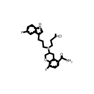 CCCCN(CCCc1c[nH]c2ccc(F)cc12)C1COc2c(F)ccc(C(N)=O)c2C1.Cl